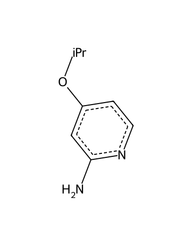 CC(C)Oc1ccnc(N)c1